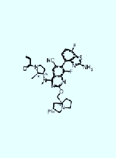 C=CC(=O)N1CC[C@@H](N(C)c2nc(OC[C@@]34CCCN3C[C@H](F)C4)nc3c(F)c(-c4ccc(F)c5sc(N)nc45)c(C#N)cc23)[C@H]1C